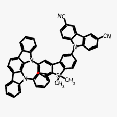 C[Si]1(C)c2ccc(-n3c4ccc(C#N)cc4c4cc(C#N)ccc43)cc2-c2cc(-n3c4ccccc4c4ccc5c6ccccc6n(-c6ccccc6)c5c43)ccc21